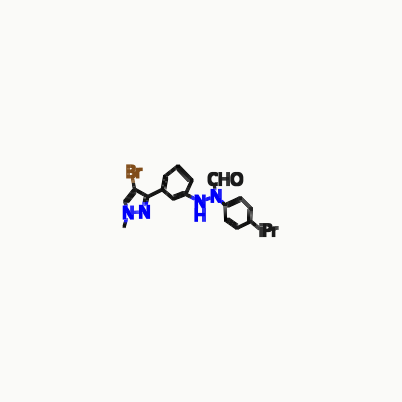 CC(C)c1ccc(N(C=O)Nc2cccc(-c3nn(C)cc3Br)c2)cc1